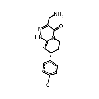 NCC1=NNC2=N[C@@H](c3ccc(Cl)cc3)CCN2C1=O